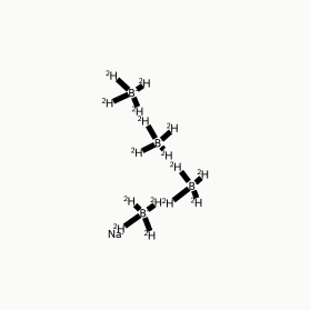 [2H][B-]([2H])([2H])[2H].[2H][B-]([2H])([2H])[2H].[2H][B-]([2H])([2H])[2H].[2H][B-]([2H])([2H])[2H].[Na]